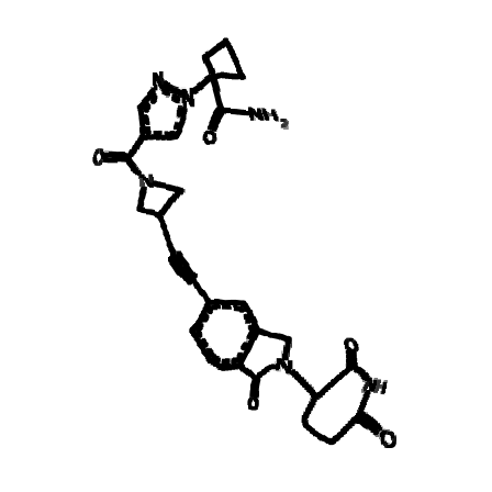 NC(=O)C1(n2cc(C(=O)N3CC(C#Cc4ccc5c(c4)CN(C4CCC(=O)NC4=O)C5=O)C3)cn2)CCC1